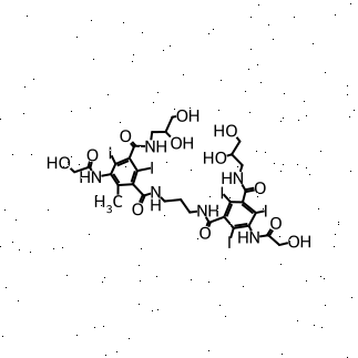 Cc1c(NC(=O)CO)c(I)c(C(=O)NCC(O)CO)c(I)c1C(=O)NCCCNC(=O)c1c(I)c(NC(=O)CO)c(I)c(C(=O)NCC(O)CO)c1I